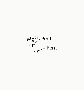 CCCC(C)[O-].CCCC(C)[O-].[Mg+2]